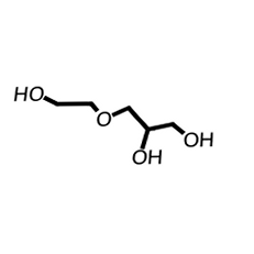 OCCOC[C](O)CO